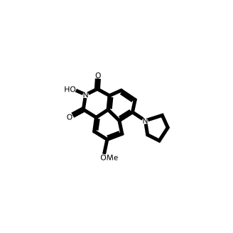 COc1cc2c3c(ccc(N4CCCC4)c3c1)C(=O)N(O)C2=O